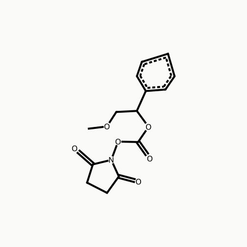 COCC(OC(=O)ON1C(=O)CCC1=O)c1ccccc1